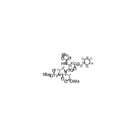 COC(=O)CC1C(=O)N(CC(=O)OC(C)(C)C)CCN1C(=O)[C@H](CC(=O)OCc1ccccc1)NC(=O)OC(C)(C)C